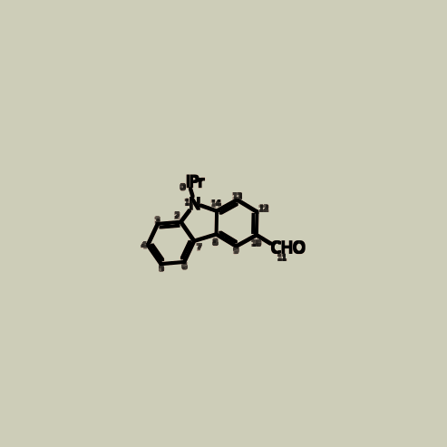 CC(C)n1c2ccccc2c2cc(C=O)ccc21